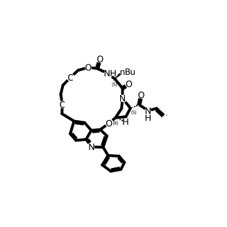 [CH]=CNC(=O)[C@@H]1C[C@@H]2CN1C(=O)[C@H](CCCC)NC(=O)OCCCCCCc1ccc3nc(-c4ccccc4)cc(c3c1)O2